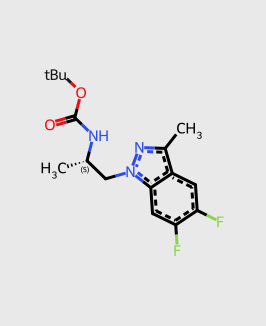 Cc1nn(C[C@H](C)NC(=O)OC(C)(C)C)c2cc(F)c(F)cc12